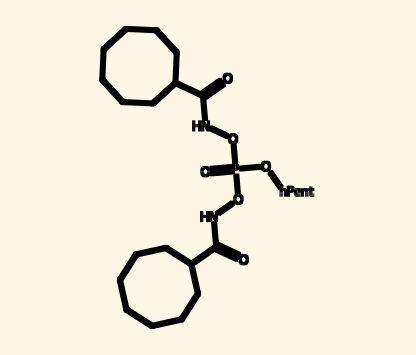 CCCCCOP(=O)(ONC(=O)C1CCCCCCC1)ONC(=O)C1CCCCCCC1